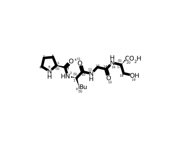 CC[C@H](C)[C@H](NC(=O)[C@@H]1CCCN1)C(=O)NCC(=O)N[C@@H](CO)C(=O)O